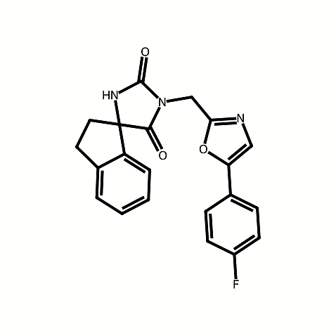 O=C1NC2(CCc3ccccc32)C(=O)N1Cc1ncc(-c2ccc(F)cc2)o1